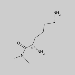 CN(C)C(=O)[C@@H](N)CCCCN